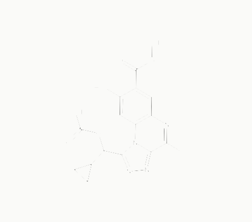 COC(=O)c1cc2nc(Cl)c3nnc(C(OC(C)=O)C4CC4)n3c2cc1C